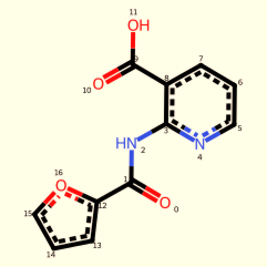 O=C(Nc1ncccc1C(=O)O)c1ccco1